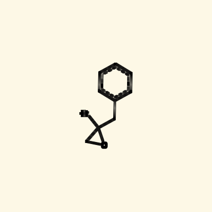 C[CH]C1(Cc2ccccc2)CO1